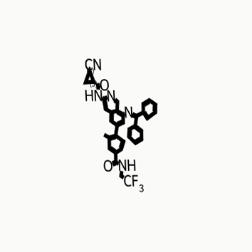 Cc1cc(C(=O)NCC(F)(F)F)ccc1-c1cc(N=C(c2ccccc2)c2ccccc2)c2cnc(NC(=O)[C@H]3C[C@@H]3C#N)cc2c1